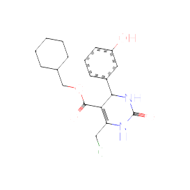 O=C1NC(CCl)=C(C(=O)OCC2CCCCC2)C(c2cccc(O)c2)N1